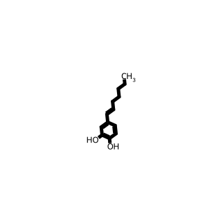 CCCCCC=Cc1ccc(O)c(O)c1